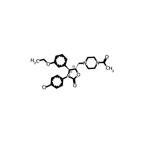 CCOc1cccc([C@H]2[C@H](CN3CCN(C(C)=O)CC3)OC(=O)N2c2ccc(Cl)cc2)c1